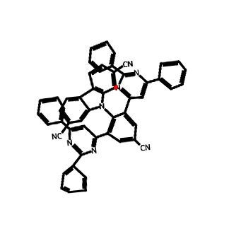 N#Cc1cc(-c2cc(-c3ccccc3)nc(-c3ccccc3)n2)c(-n2c3cc(C#N)ccc3c3ccc(C#N)cc32)c(-c2cc(-c3ccccc3)nc(-c3ccccc3)n2)c1